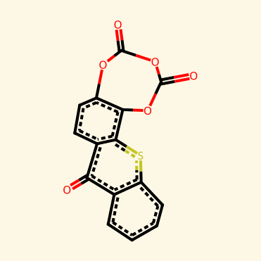 O=C1OC(=O)Oc2c(ccc3c(=O)c4ccccc4sc23)O1